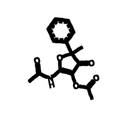 CC(=O)NC1=C(OC(C)=O)C(=O)C(C)(c2ccccc2)O1